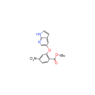 CC(C)(C)OC(=O)c1ccc([N+](=O)[O-])cc1Oc1cnc2[nH]ccc2c1